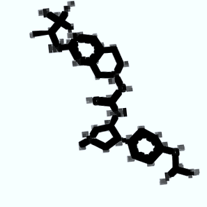 C[C@H](Nc1ncc2c(n1)CN(OC(=O)N[C@@H]1CN(C)C[C@H]1c1ccc(OC(F)F)cc1)CC2)C(F)(F)F